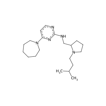 CC(C)CCN1CCCC1CNc1nccc(N2CCCCCC2)n1